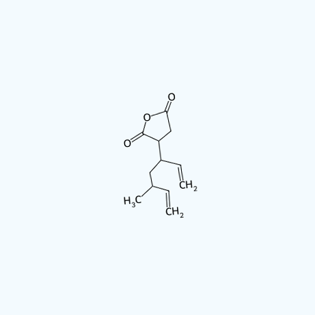 C=CC(C)CC(C=C)C1CC(=O)OC1=O